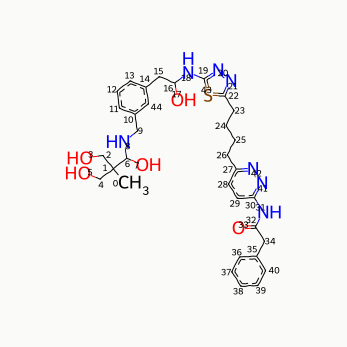 CC(CO)(CO)C(O)NCc1cccc(CC(O)Nc2nnc(CCCCc3ccc(NC(=O)Cc4ccccc4)nn3)s2)c1